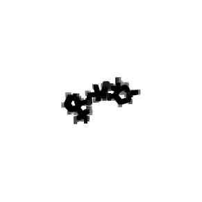 CN1CCC(NC(=O)C(C)(C)COc2ncccc2C(F)(F)F)C(F)(F)C1